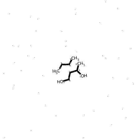 CC(O)CCO.CCCC